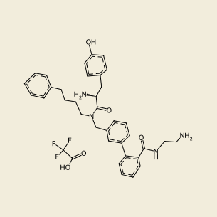 NCCNC(=O)c1ccccc1-c1cccc(CN(CCCCc2ccccc2)C(=O)[C@@H](N)Cc2ccc(O)cc2)c1.O=C(O)C(F)(F)F